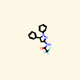 O=C(NC1=NN(c2ccccc2)C(c2ccccc2)C1)C(F)(F)F